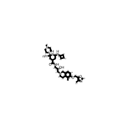 CCCC1(N2CCN(C)CC2)CC(C(=O)NC[C@H](O)CN2CCc3c(ccc(OCc4ocnc4C)c3C)C2)CC(NC2CCC2)N1